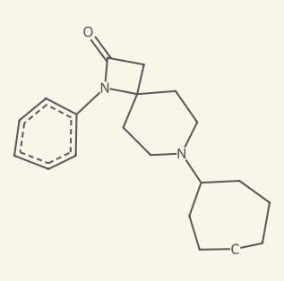 O=C1CC2(CCN(C3CCCCCC3)CC2)N1c1ccccc1